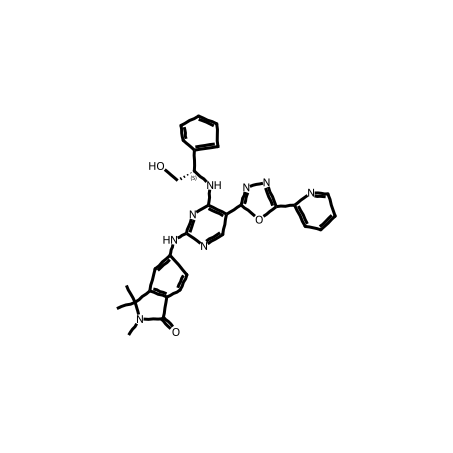 CN1C(=O)c2ccc(Nc3ncc(-c4nnc(-c5ccccn5)o4)c(N[C@H](CO)c4ccccc4)n3)cc2C1(C)C